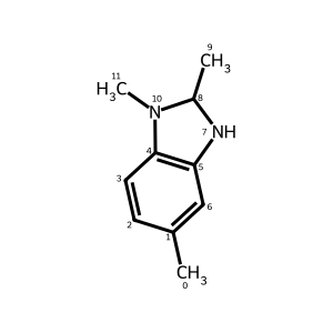 Cc1ccc2c(c1)NC(C)N2C